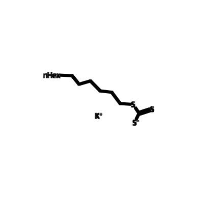 CCCCCCCCCCCCSC(=S)[S-].[K+]